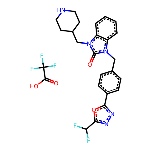 O=C(O)C(F)(F)F.O=c1n(Cc2ccc(-c3nnc(C(F)F)o3)cc2)c2ccccc2n1CC1CCNCC1